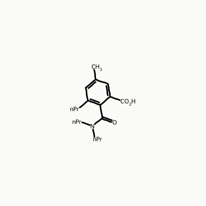 CCCc1cc(C)cc(C(=O)O)c1C(=O)N(CCC)CCC